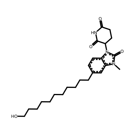 Cn1c(=O)n(C2CCC(=O)NC2=O)c2ccc(CCCCCCCCCCCO)cc21